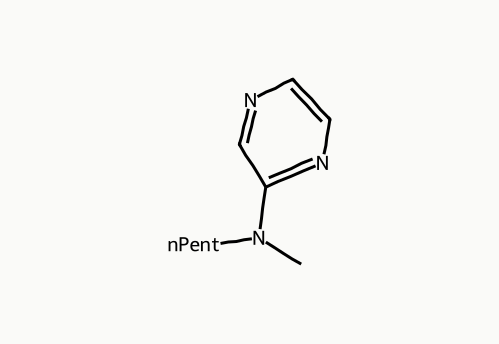 CCCCCN(C)c1cnccn1